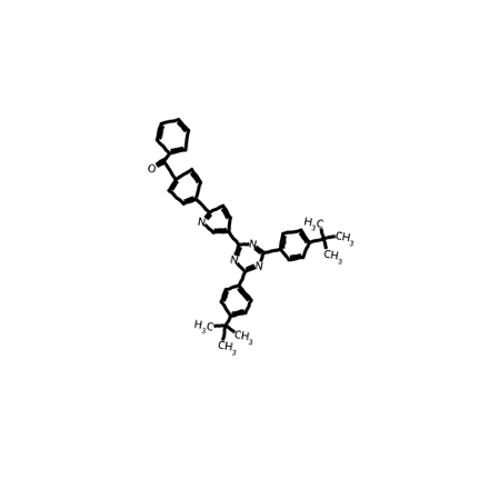 CC(C)(C)c1ccc(-c2nc(-c3ccc(C(C)(C)C)cc3)nc(-c3ccc(-c4ccc(C(=O)c5ccccc5)cc4)nc3)n2)cc1